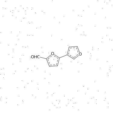 O=Cc1ccc(-c2ccoc2)o1